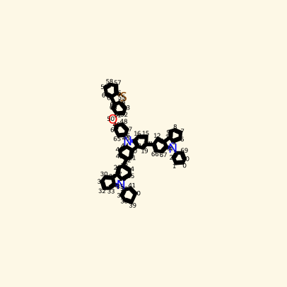 c1ccc(-n2c3ccccc3c3cc(-c4ccc5c(c4)c4cc(-c6ccc7c(c6)c6ccccc6n7-c6ccccc6)ccc4n5-c4ccc(Oc5ccc6sc7ccccc7c6c5)cc4)ccc32)cc1